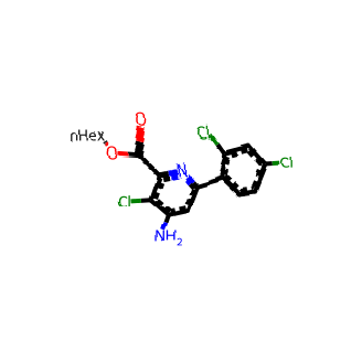 CCCCCCOC(=O)c1nc(-c2ccc(Cl)cc2Cl)cc(N)c1Cl